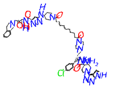 NC1(C(=O)N[C@@H](CCN2CCN(C(=O)CCCCCCCCCC(=O)N3CCC(Nc4cc(C(=O)NC[C@H](O)CN5CCc6ccccc6C5)ncn4)CC3)CC2)c2ccc(Cl)cc2)CCN(c2ncnc3[nH]ccc23)CC1